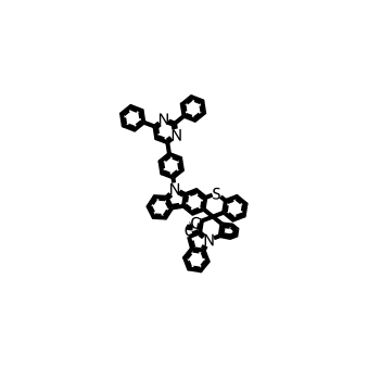 c1ccc(-c2cc(-c3ccc(-n4c5ccccc5c5cc6c(cc54)Sc4ccccc4C64c5ccccc5-n5c6ccccc6c6cccc4c65)cc3)nc(-c3ccccc3)n2)cc1